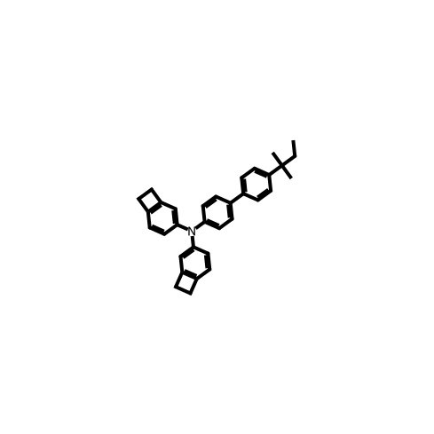 CCC(C)(C)c1ccc(-c2ccc(N(c3ccc4c(c3)CC4)c3ccc4c(c3)CC4)cc2)cc1